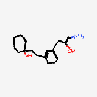 NCC(O)Cc1cccc(CCC2(O)CCCCC2)c1